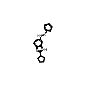 c1ccc(SNc2ccc3nc(C4CCCC4)[nH]c3c2)cc1